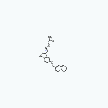 Cn1cc(/C=N/OCC(=O)O)c2cc(OCc3ccc4ccccc4c3)ccc21